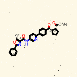 COC(=O)[C@@H]1CCC[C@H]1C(=O)c1ccc(-c2ccc(NC(=O)c3nc(-c4ccccc4)oc3C(F)(F)F)cn2)cc1